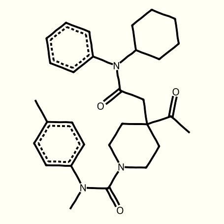 CC(=O)C1(CC(=O)N(c2ccccc2)C2CCCCC2)CCN(C(=O)N(C)c2ccc(C)cc2)CC1